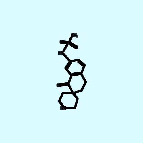 CS(=O)(=O)Nc1ccc2c(c1)C(=O)C1(CCNCC1)CC2